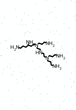 NCCCC(N)CCN(CCCN)CCNCCN(CCCN)CCCN